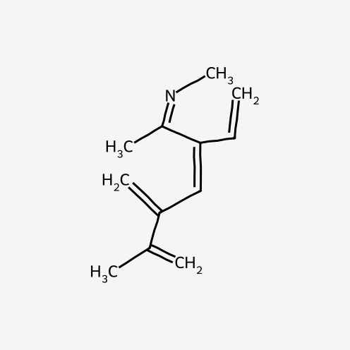 C=CC(=C/C(=C)C(=C)C)/C(C)=N\C